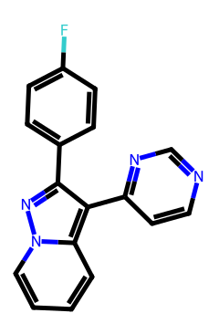 Fc1ccc(-c2nn3ccccc3c2-c2ccncn2)cc1